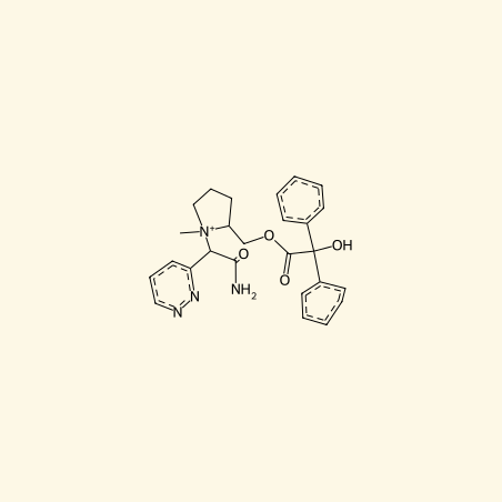 C[N+]1(C(C(N)=O)c2cccnn2)CCCC1COC(=O)C(O)(c1ccccc1)c1ccccc1